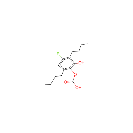 CCCCc1cc(F)c(CCCC)c(O)c1OC(=O)O